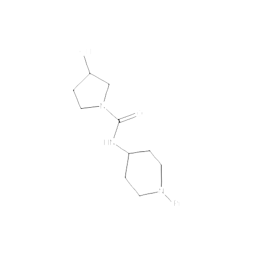 CC(C)N1CCC(NC(=O)N2CCC(O)C2)CC1